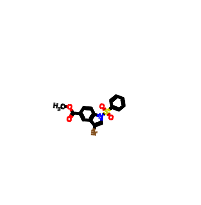 COC(=O)c1ccc2c(c1)c(Br)cn2S(=O)(=O)c1ccccc1